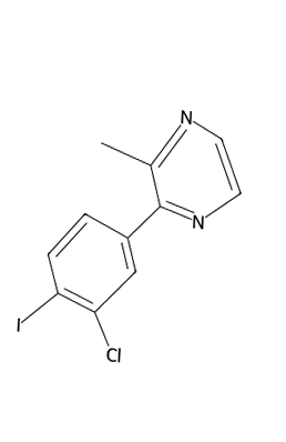 Cc1nccnc1-c1ccc(I)c(Cl)c1